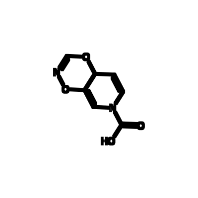 O=C(O)N1C=CC2OC=NOC2=C1